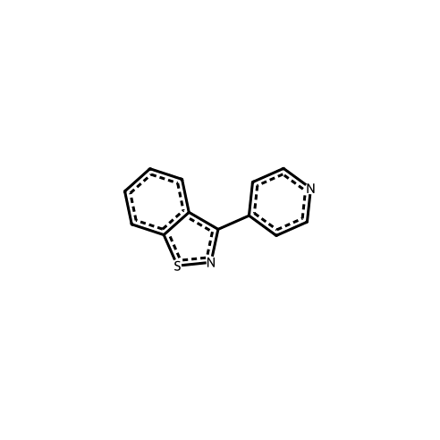 c1ccc2c(-c3ccncc3)nsc2c1